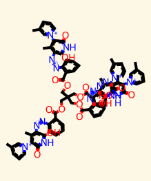 Cc1ccc[n+](-c2c(C)c(/N=N\c3ccccc3C(=O)OCC(COC(=O)c3ccccc3/N=N\c3c(O)[nH]c(=O)c(-[n+]4cccc(C)c4)c3C)(COC(=O)c3ccccc3/N=N\c3c(O)[nH]c(=O)c(-[n+]4cccc(C)c4)c3C)COC(=O)c3ccccc3/N=N\c3c(O)[nH]c(=O)c(-[n+]4cccc(C)c4)c3C)c(O)[nH]c2=O)c1